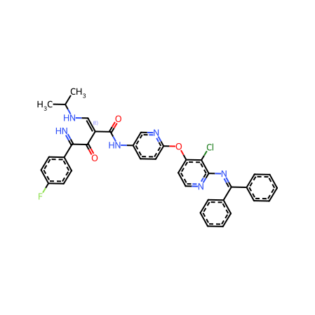 CC(C)N/C=C(/C(=O)Nc1ccc(Oc2ccnc(N=C(c3ccccc3)c3ccccc3)c2Cl)nc1)C(=O)C(=N)c1ccc(F)cc1